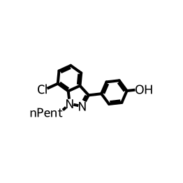 CCCCCn1nc(-c2ccc(O)cc2)c2cccc(Cl)c21